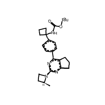 C[C@H]1CCN1c1nc2c(c(-c3ccc(C4(NC(=O)OC(C)(C)C)CCC4)cc3)n1)CCC2